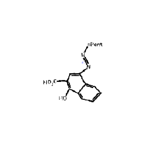 CCCCC/N=N/c1cc(C(=O)O)c(O)c2ccccc12